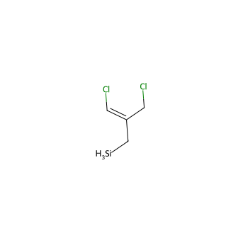 [SiH3]CC(=CCl)CCl